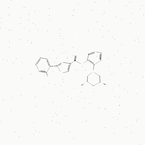 C[C@H]1CN(c2ccncc2NC(=O)c2csc(-c3ccccc3F)n2)C[C@@H](N)[C@@H]1O